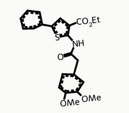 CCOC(=O)c1cc(-c2ccccc2)sc1NC(=O)Cc1ccc(OC)c(OC)c1